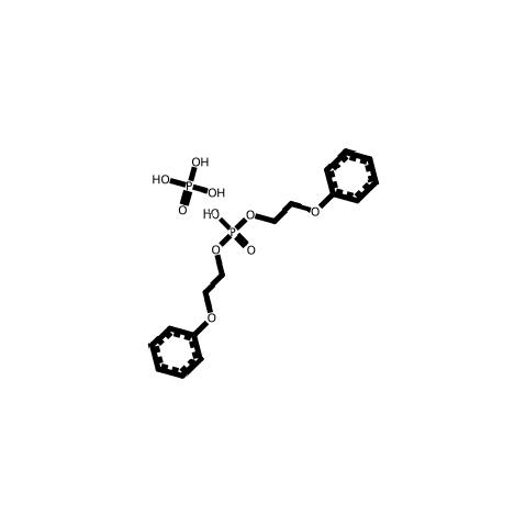 O=P(O)(O)O.O=P(O)(OCCOc1ccccc1)OCCOc1ccccc1